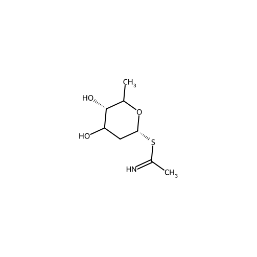 CC(=N)S[C@@H]1CC(O)[C@H](O)C(C)O1